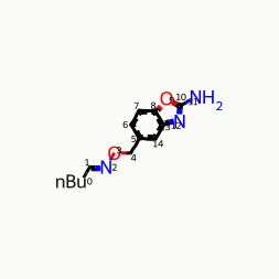 CCCC/C=N/OCc1ccc2oc(N)nc2c1